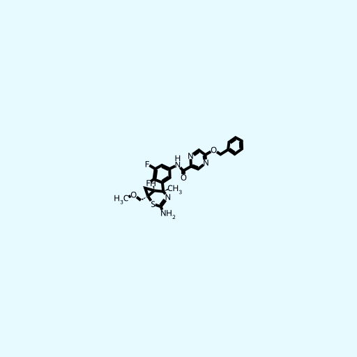 COC[C@]12C[C@H]1[C@@](C)(c1cc(NC(=O)c3cnc(OCc4ccccc4)cn3)cc(F)c1F)N=C(N)S2